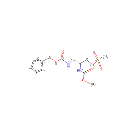 CC(C)(C)OC(=O)N[C@H](CNC(=O)OCc1ccccc1)COS(C)(=O)=O